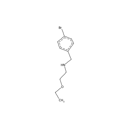 CCOCCNCc1ccc(Br)cc1